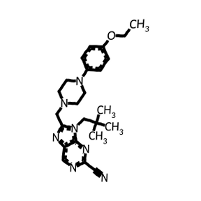 CCOc1ccc(N2CCN(Cc3nc4cnc(C#N)nc4n3CC(C)(C)C)CC2)cc1